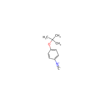 [C-]#[N+]c1ccc(OC(C)(C)C)cc1